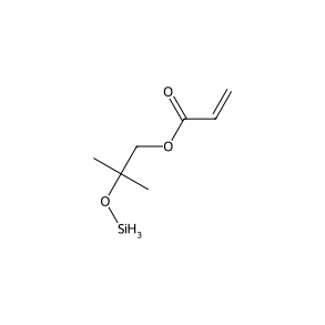 C=CC(=O)OCC(C)(C)O[SiH3]